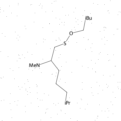 CCC(C)COSCC(CCCC(C)C)NC